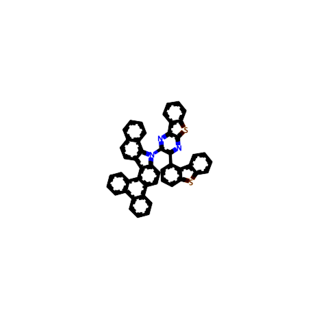 c1ccc2c(c1)ccc1c3c4c5ccccc5c5ccccc5c4ccc3n(-c3nc4c(nc3-c3cccc5sc6ccccc6c35)sc3ccccc34)c21